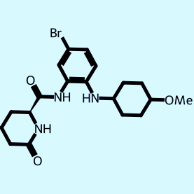 COC1CCC(Nc2ccc(Br)cc2NC(=O)[C@@H]2CCCC(=O)N2)CC1